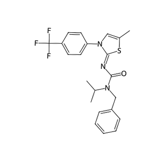 Cc1cn(-c2ccc(C(F)(F)F)cc2)c(=NC(=O)N(Cc2ccccc2)C(C)C)s1